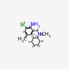 Cc1cc(Br)c(N)c(CN(C)C2CCCCC2)c1